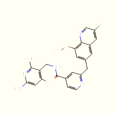 CSc1cc(Cc2cc(C(=O)NCc3c(C)cc(N)nc3C)ccn2)cc2cc(F)cnc12